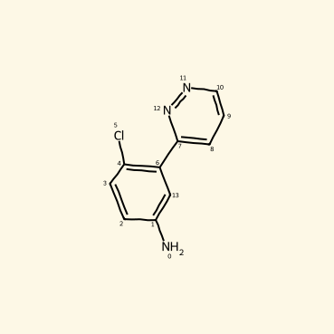 Nc1ccc(Cl)c(-c2cccnn2)c1